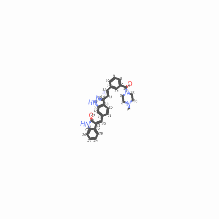 CN1CCN(C(=O)c2cccc(/C=C/c3n[nH]c4cc(C=C5C(=O)Nc6ccccc65)ccc34)c2)CC1